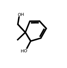 CC1(CO)C=CC=CC1O